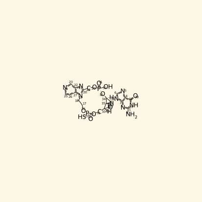 Nc1nc2c(ncn2[C@@H]2O[C@@H]3COP(=O)(S)OCCn4c(nc5cnccc54)COP(=O)(O)O[C@@H]2[C@@H]3F)c(=O)[nH]1